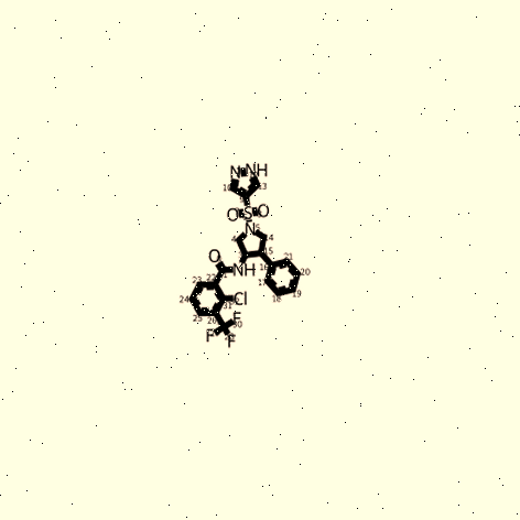 O=C(NC1CN(S(=O)(=O)c2cn[nH]c2)CC1c1ccccc1)c1cccc(C(F)(F)F)c1Cl